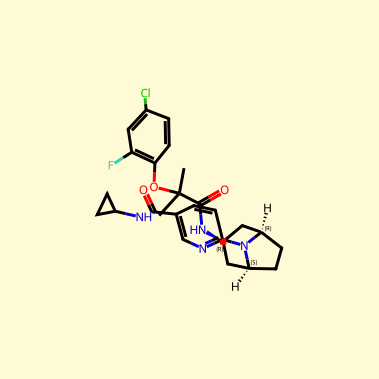 CC(C)(Oc1ccc(Cl)cc1F)C(=O)N[C@H]1C[C@H]2CC[C@@H](C1)N2c1ccc(C(=O)NC2CC2)cn1